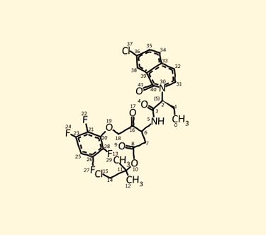 CC[C@@H](C(=O)NC(CC(=O)OC(C)(C)CCl)C(=O)COc1c(F)c(F)cc(F)c1F)n1ccc2ccc(Cl)cc2c1=O